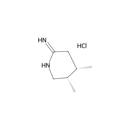 C[C@@H]1CNC(=N)C[C@@H]1C.Cl